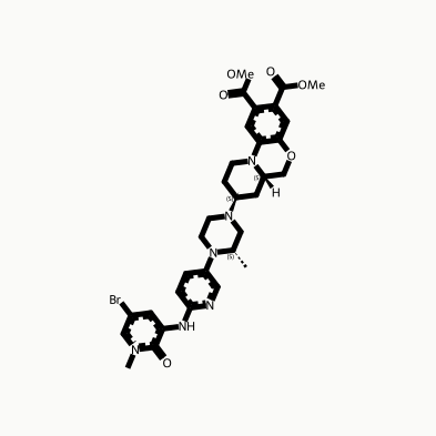 COC(=O)c1cc2c(cc1C(=O)OC)N1CC[C@H](N3CCN(c4ccc(Nc5cc(Br)cn(C)c5=O)nc4)[C@@H](C)C3)C[C@H]1CO2